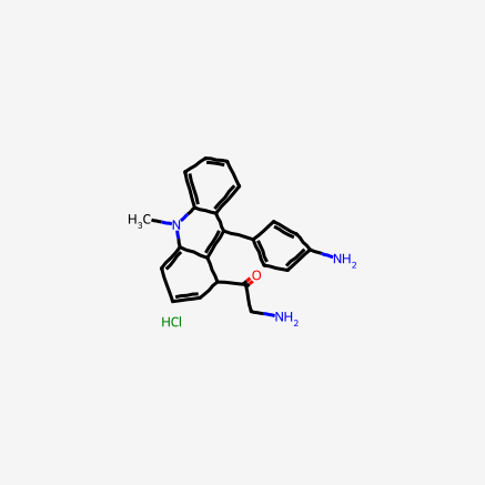 CN1C2=CC=CC(C(=O)CN)C2=C(c2ccc(N)cc2)c2ccccc21.Cl